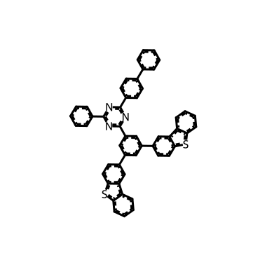 c1ccc(-c2ccc(-c3nc(-c4ccccc4)nc(-c4cc(-c5ccc6sc7ccccc7c6c5)cc(-c5ccc6sc7ccccc7c6c5)c4)n3)cc2)cc1